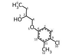 CCC(O)COc1ccc(Cl)c(C)c1